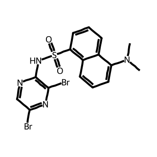 CN(C)c1cccc2c(S(=O)(=O)Nc3ncc(Br)nc3Br)cccc12